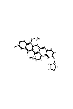 Cc1ccc2c(CC(C)(C)C)c3c(c(C)c2c1)-c1c2c(cc4ccc(CC5CCCC5)cc4c2cc[n+]1C)S3